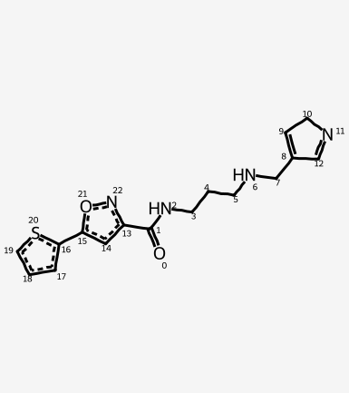 O=C(NCCCNCC1=CCN=C1)c1cc(-c2cccs2)on1